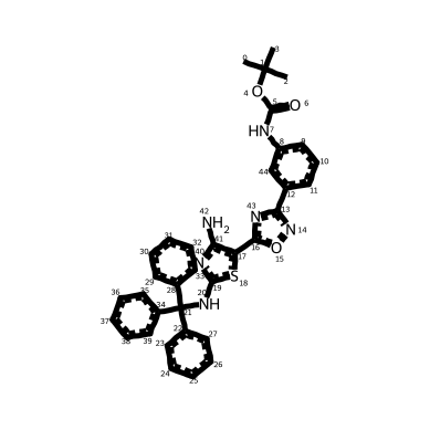 CC(C)(C)OC(=O)Nc1cccc(-c2noc(-c3sc(NC(c4ccccc4)(c4ccccc4)c4ccccc4)nc3N)n2)c1